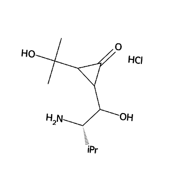 CC(C)[C@H](N)C(O)C1C(=O)C1C(C)(C)O.Cl